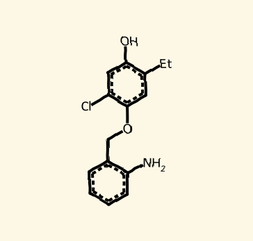 CCc1cc(OCc2ccccc2N)c(Cl)cc1O